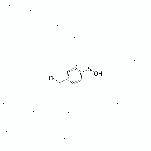 OSc1ccc(CCl)cc1